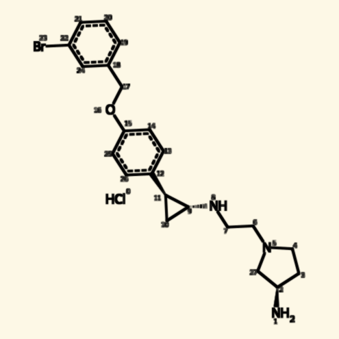 Cl.N[C@@H]1CCN(CCN[C@@H]2C[C@H]2c2ccc(OCc3cccc(Br)c3)cc2)C1